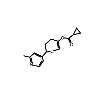 Cc1cc(C2CC=C(OC(=O)C3CC3)CC2)ccn1